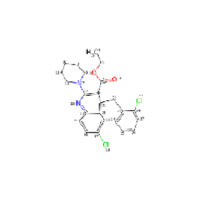 CCOC(=O)c1c(N2CCCCC2)nc2ccc(Cl)cc2c1Cc1ccccc1Cl